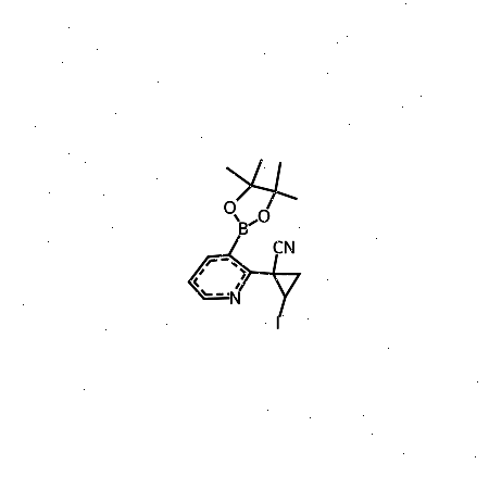 CC1(C)OB(c2cccnc2C2(C#N)CC2I)OC1(C)C